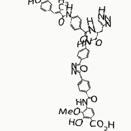 COc1c(NC(=O)c2ccc(-c3nnc(-c4ccc(NC(=O)[C@H](Cc5c[nH]nn5)NC(=O)c5ccc(NC(=O)/C(C)=C/c6ccc(O)cc6)cc5)cc4)o3)cc2)ccc(C(=O)O)c1O